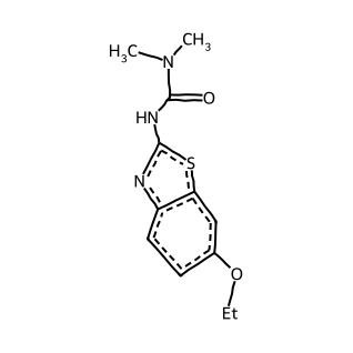 CCOc1ccc2nc(NC(=O)N(C)C)sc2c1